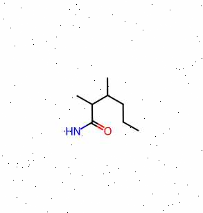 CCCC(C)C(C)C([NH])=O